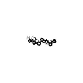 CC1(C)c2ccccc2-c2ccc(-c3cccc(-c4cccc5c4Cc4nc(-c6cccc7c6sc6ccccc67)ccc4-5)c3)cc21